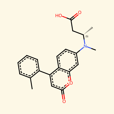 Cc1ccccc1-c1cc(=O)oc2cc(N(C)[C@@H](C)CC(=O)O)ccc12